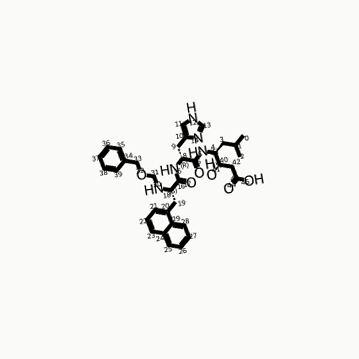 CC(C)C[C@H](NC(=O)[C@@H](Cc1c[nH]cn1)NC(=O)[C@H](Cc1cccc2ccccc12)NCOCc1ccccc1)[C@@H](O)CC(=O)O